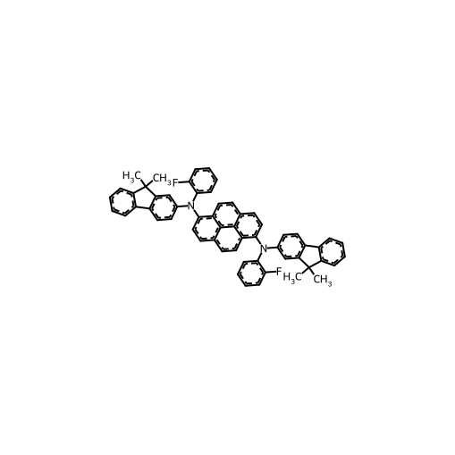 CC1(C)c2ccccc2-c2ccc(N(c3ccccc3F)c3ccc4ccc5c(N(c6ccc7c(c6)C(C)(C)c6ccccc6-7)c6ccccc6F)ccc6ccc3c4c65)cc21